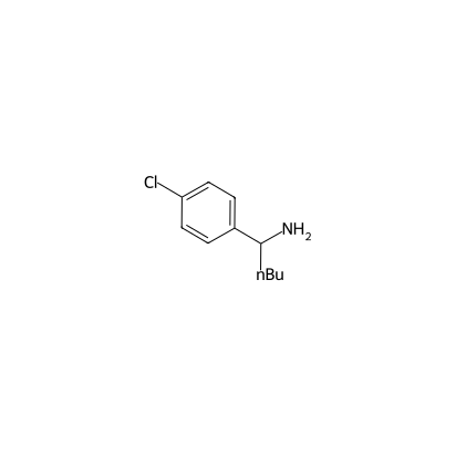 CC[CH]CC(N)c1ccc(Cl)cc1